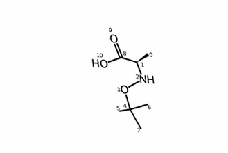 C[C@@H](NOC(C)(C)C)C(=O)O